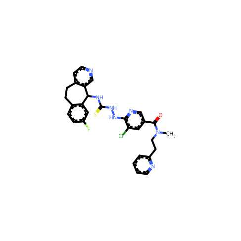 CN(CCc1ccccn1)C(=O)c1cnc(NNC(=S)NC2c3cnccc3CCc3ccc(F)cc32)c(Cl)c1